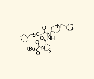 CC(C)(C)C(=O)C(=O)N1CSC[C@H]1C(=O)NN(C(=O)CCSCC1CCCCC1)C1CCN(Cc2ccccc2)CC1